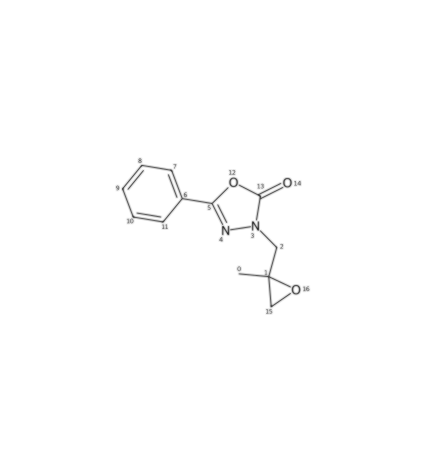 CC1(Cn2nc(-c3ccccc3)oc2=O)CO1